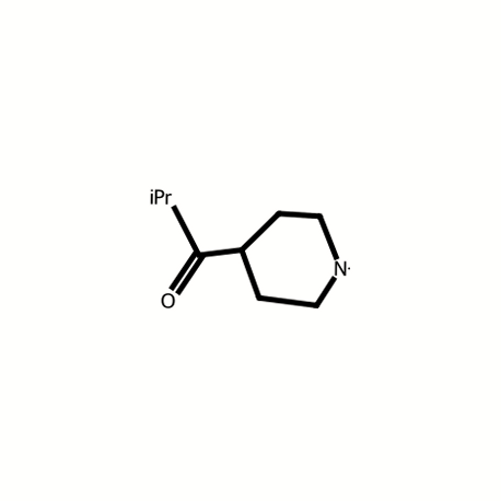 CC(C)C(=O)C1CC[N]CC1